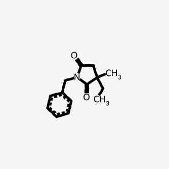 CCC1(C)CC(=O)N(Cc2ccccc2)C1=O